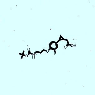 CC(C)(C)OC(=O)NCCCOc1ccc(C2CC2CC(=O)O)cc1F